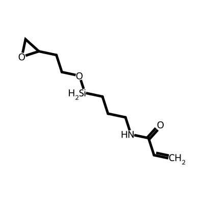 C=CC(=O)NCCC[SiH2]OCCC1CO1